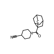 N#CC1CCN(C(=O)C23CC4CC(CC2C4)C3)CC1